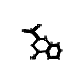 O=S(=O)=C1CC(O)c2ccccc2O1